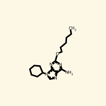 CCCCCCOc1nc(N)c2ncn(C3CCCCC3)c2n1